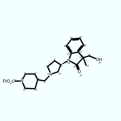 CCOC(=O)N1CCC(CN2CC[C@@H](N3C(=O)C(C)(CO)c4ccccc43)C2)CC1